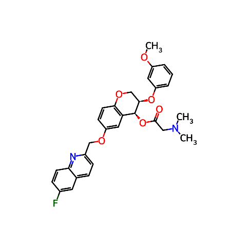 COc1cccc(O[C@@H]2COc3ccc(OCc4ccc5cc(F)ccc5n4)cc3[C@@H]2OC(=O)CN(C)C)c1